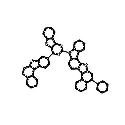 c1ccc(-c2cc3oc4c(ccc5c4c4ccccc4n5-c4nc(-c5ccc6c(c5)oc5ccc7ccccc7c56)c5sc6ccccc6c5n4)c3c3ccccc23)cc1